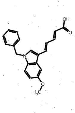 COc1ccc2c(c1)c(C=CC=CC(=O)O)cn2Cc1ccccc1